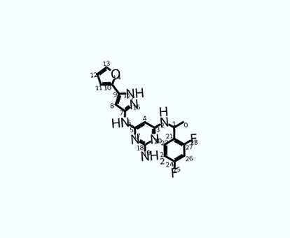 CC(Nc1cc(Nc2cc(-c3ccco3)[nH]n2)nc(N)n1)c1ccc(F)cc1F